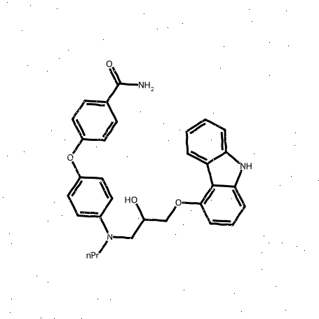 CCCN(CC(O)COc1cccc2[nH]c3ccccc3c12)c1ccc(Oc2ccc(C(N)=O)cc2)cc1